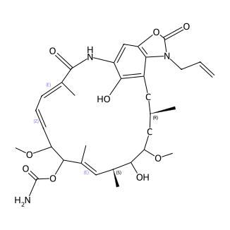 C=CCn1c(=O)oc2cc3c(O)c(c21)C[C@@H](C)CC(OC)C(O)[C@@H](C)/C=C(\C)C(OC(N)=O)C(OC)/C=C\C=C(/C)C(=O)N3